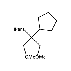 CCCC(C)C(COC)(COC)C1CCCC1